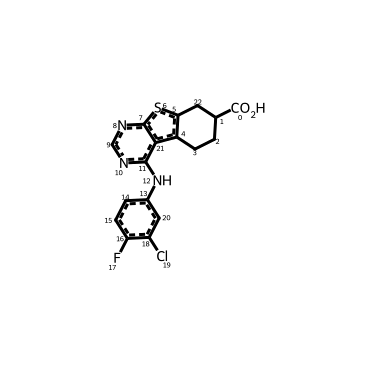 O=C(O)C1CCc2c(sc3ncnc(Nc4ccc(F)c(Cl)c4)c23)C1